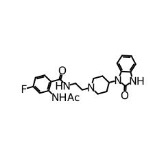 CC(=O)Nc1cc(F)ccc1C(=O)NCCN1CCC(n2c(=O)[nH]c3ccccc32)CC1